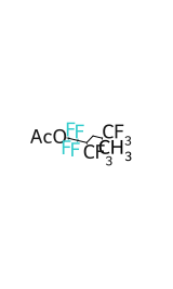 CC(=O)OC(F)(F)C(F)(F)C(CC(C)C(F)(F)F)C(F)(F)F